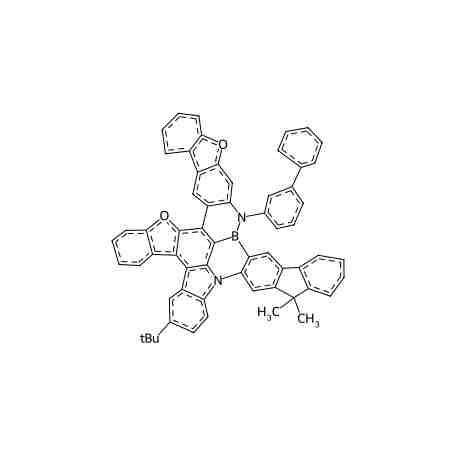 CC(C)(C)c1ccc2c(c1)c1c3c(oc4ccccc43)c3c4c1n2-c1cc2c(cc1B4N(c1cccc(-c4ccccc4)c1)c1cc4oc5ccccc5c4cc1-3)-c1ccccc1C2(C)C